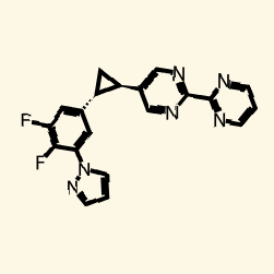 Fc1cc([C@@H]2C[C@H]2c2cnc(-c3ncccn3)nc2)cc(-n2cccn2)c1F